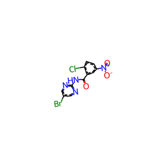 O=C(Nc1ncc(Br)cn1)c1cc([N+](=O)[O-])ccc1Cl